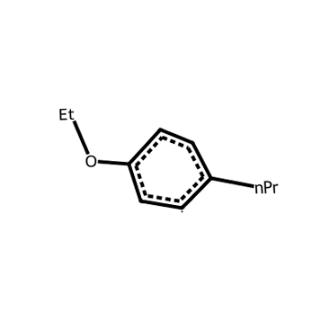 CCCc1[c]cc(OCC)cc1